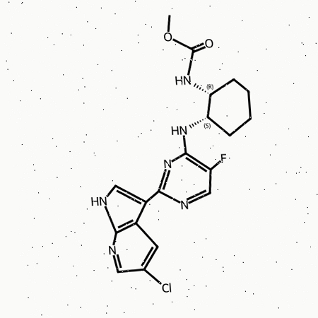 COC(=O)N[C@@H]1CCCC[C@@H]1Nc1nc(-c2c[nH]c3ncc(Cl)cc23)ncc1F